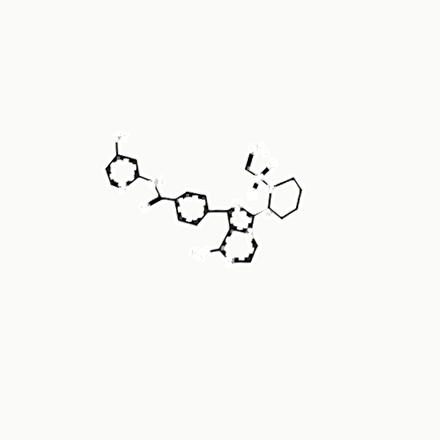 C=CS(=O)(=O)N1CCCC[C@H]1c1nc(-c2ccc(C(=O)Nc3cc(CCC)ccn3)cc2)c2c(C)nccn12